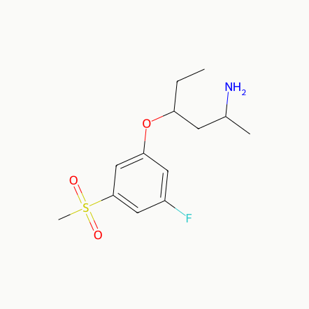 CCC(CC(C)N)Oc1cc(F)cc(S(C)(=O)=O)c1